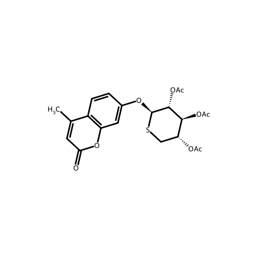 CC(=O)O[C@@H]1[C@@H](OC(C)=O)[C@H](OC(C)=O)CS[C@H]1Oc1ccc2c(C)cc(=O)oc2c1